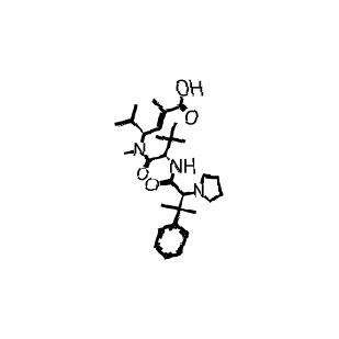 CC(=C[C@H](C(C)C)N(C)C(=O)[C@@H](NC(=O)[C@@H](N1CCCC1)C(C)(C)c1ccccc1)C(C)(C)C)C(=O)O